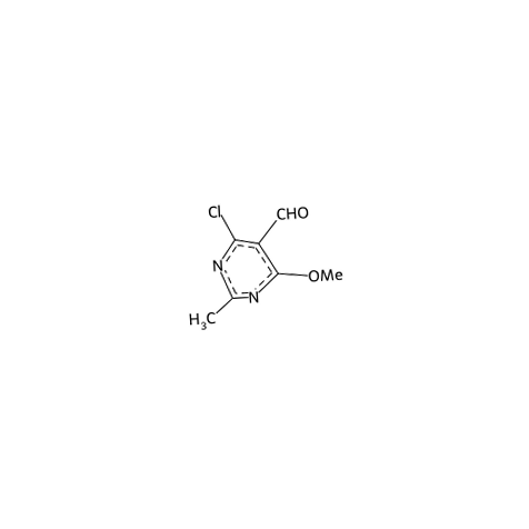 COc1nc(C)nc(Cl)c1C=O